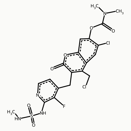 CNS(=O)(=O)Nc1nccc(Cc2c(CCl)c3cc(Cl)c(OC(=O)N(C)C)cc3oc2=O)c1F